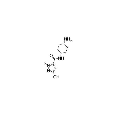 Cn1nc(O)cc1C(=O)NC1CCC(N)CC1